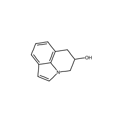 OC1Cc2cccc3ccn(c23)C1